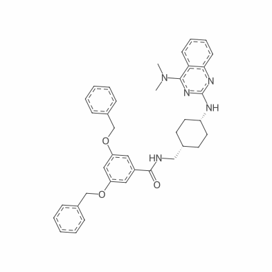 CN(C)c1nc(N[C@H]2CC[C@@H](CNC(=O)c3cc(OCc4ccccc4)cc(OCc4ccccc4)c3)CC2)nc2ccccc12